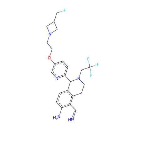 N=Cc1c(N)ccc2c1CCN(CC(F)(F)F)C2c1ccc(OCCN2CC(CF)C2)cn1